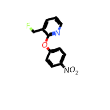 O=[N+]([O-])c1ccc(Oc2ncccc2CF)cc1